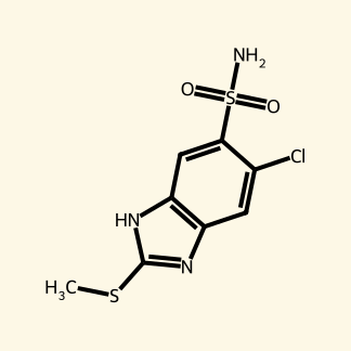 CSc1nc2cc(Cl)c(S(N)(=O)=O)cc2[nH]1